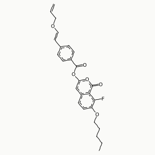 C=CCO/C=C/c1ccc(C(=O)Oc2cc3ccc(OCCCCC)c(F)c3c(=O)o2)cc1